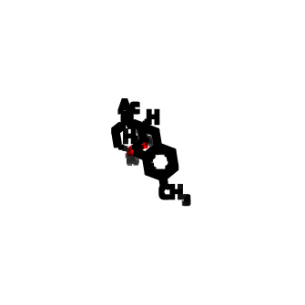 CC(=O)N1CC[C@@]23CCCC[C@@H]2[C@@H]1Cc1ccc(C)cc13